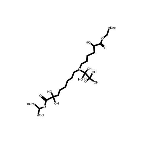 CCCCCCCCCCCOC(=O)C(O)CCCCN(CCCCCCC(O)(O)C(=O)OC(CCCCCCCC)CCCCCCCC)C(O)(O)C(O)(O)O